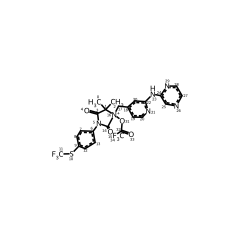 CC1(C)C(=O)N(c2ccc(SC(F)(F)F)cc2)C(=O)[N+]1(Cc1ccnc(Nc2cnccn2)c1)OC(=O)C(F)(F)F